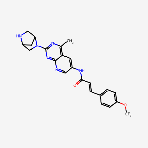 Cc1nc(N2CC3CC2CN3)nc2ncc(NC(=O)C=Cc3ccc(OC(F)(F)F)cc3)cc12